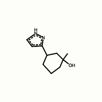 CC1(O)CCCC(c2cc[nH]n2)C1